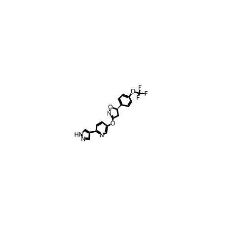 FC(F)(F)Oc1ccc([C@H]2CC(Oc3ccc(-c4cn[nH]c4)nc3)=NO2)cc1